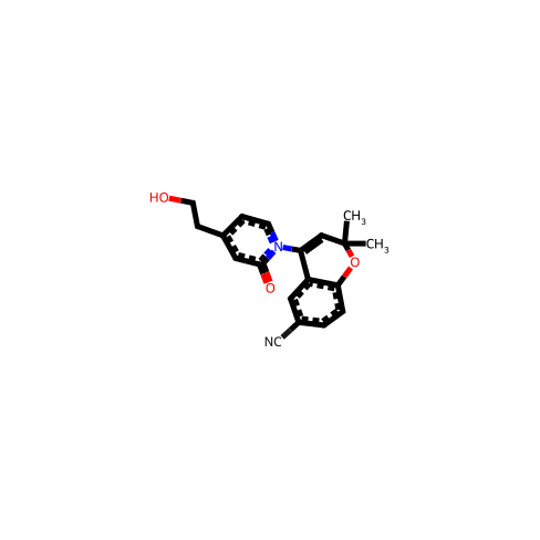 CC1(C)C=C(n2ccc(CCO)cc2=O)c2cc(C#N)ccc2O1